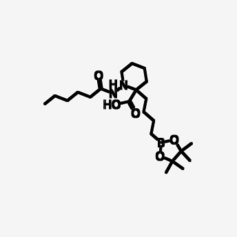 CCCCCC(=O)NN1CCCCC1(CCCCB1OC(C)(C)C(C)(C)O1)C(=O)O